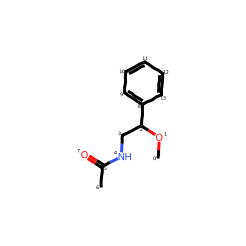 COC(CNC(C)=O)c1ccccc1